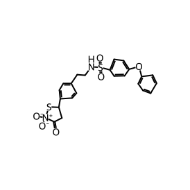 O=C1CC(c2ccc(CCNS(=O)(=O)c3ccc(Oc4ccccc4)cc3)cc2)S[N+]1([O-])[O-]